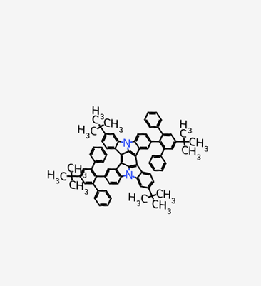 CC(C)(C)c1cc(-c2ccccc2)c(-c2ccc3c(c2)c2c4c5ccc(C(C)(C)C)cc5n5c6ccc(-c7c(-c8ccccc8)cc(C(C)(C)C)cc7-c7ccccc7)cc6c(c6c7ccc(C(C)(C)C)cc7n3c26)c45)c(-c2ccccc2)c1